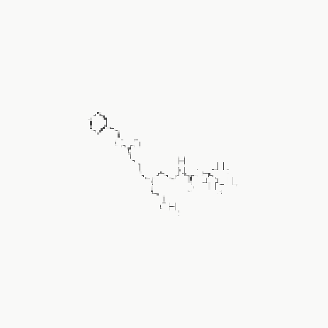 CCCN(CCCC(=O)OCc1ccccc1)CCNC(=O)OC(C)(C)C